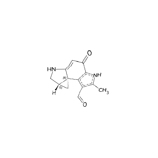 Cc1[nH]c2c(c1C=O)[C@@]13C[C@@H]1CNC3=CC2=O